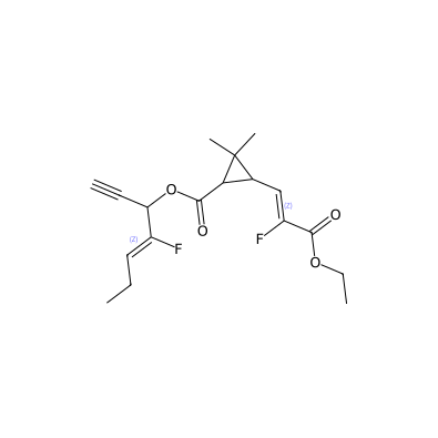 C#CC(OC(=O)C1C(/C=C(\F)C(=O)OCC)C1(C)C)/C(F)=C/CC